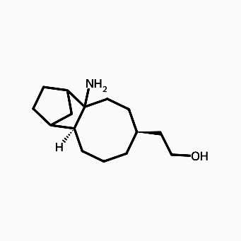 NC12CC[C@@H](CCO)CCC[C@H]1C1CCC2C1